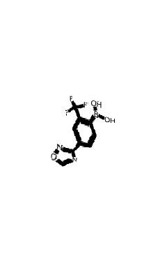 OB(O)c1ccc(-c2ncon2)cc1C(F)(F)F